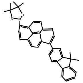 CC1(C)c2ccccc2-c2ccc(-c3ccc4ccc5c(B6OC(C)(C)C(C)(C)O6)ccc6ccc3c4c65)cc21